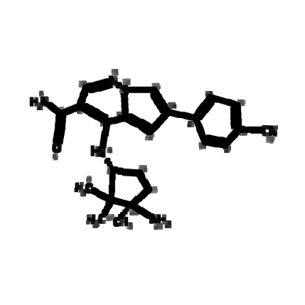 CC1(C)[C@H](Nc2c(C(N)=O)cnn3cc(-c4ccc(C#N)cc4)cc23)CC[C@@]1(C)N